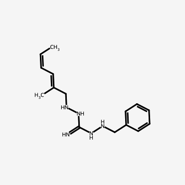 C/C=C\C=C(/C)CNNC(=N)NNCc1ccccc1